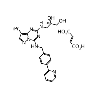 CC(C)c1cnn2c(NCc3ccc(-c4ccccn4)cc3)nc(NC[C@@H](O)CO)nc12.O=C(O)C=CC(=O)O